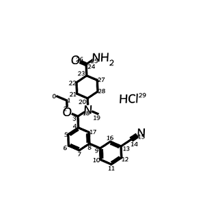 CCOC(c1cccc(-c2cccc(C#N)c2)c1)N(C)C1CCC(C(N)=O)CC1.Cl